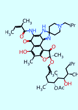 C/C=C(/C)C(=O)NC1=C2NC3(CCN(CC(C)C)CC3)N=C2c2c(c(O)c(C)c3c2C(=O)[C@@](C)(O/C=C/C[C@@H](C)[C@@H](OC(C)=O)[C@H](C)[C@H](O)[C@H](C)CC(C)C)O3)C1=O